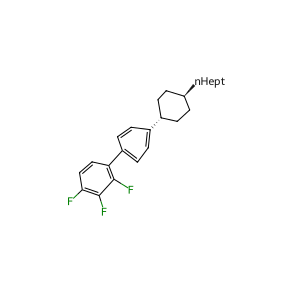 CCCCCCC[C@H]1CC[C@H](c2ccc(-c3ccc(F)c(F)c3F)cc2)CC1